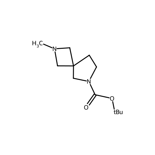 CN1CC2(CCN(C(=O)OC(C)(C)C)C2)C1